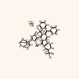 CC1C=C(C2C3CC4CC(C3)CC2C4)C=C1c1c(C(C)(C)C)c(=C(c2ccccc2)c2ccccc2)cc2c1=[C]([Zr+2])c1cc(C(C)(C)C)ccc1-2.[Cl-].[Cl-]